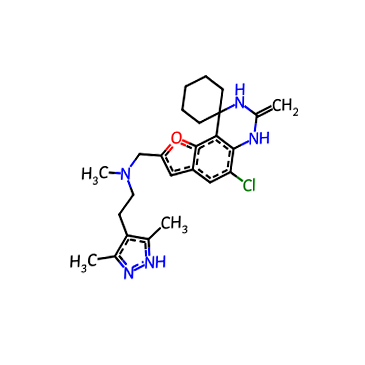 C=C1Nc2c(Cl)cc3cc(CN(C)CCc4c(C)n[nH]c4C)oc3c2C2(CCCCC2)N1